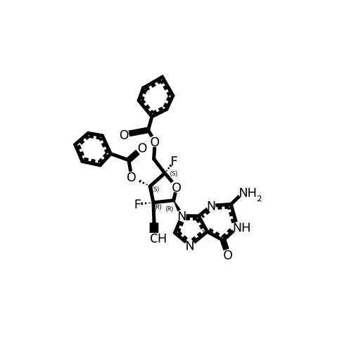 C#C[C@]1(F)[C@H](n2cnc3c(=O)[nH]c(N)nc32)O[C@](F)(COC(=O)c2ccccc2)[C@H]1OC(=O)c1ccccc1